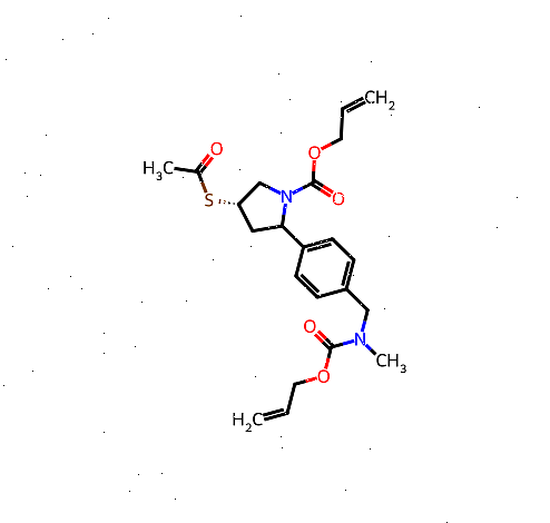 C=CCOC(=O)N(C)Cc1ccc(C2C[C@H](SC(C)=O)CN2C(=O)OCC=C)cc1